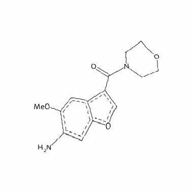 COc1cc2c(C(=O)N3CCOCC3)coc2cc1N